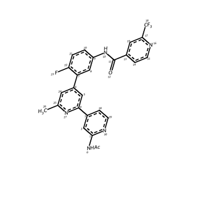 CC(=O)Nc1cc(-c2cc(-c3cc(NC(=O)c4ccnc(C(F)(F)F)c4)ccc3F)cc(C)n2)ccn1